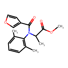 COC(=O)C(C)N(C(=O)c1ccoc1)c1c(C)cccc1C